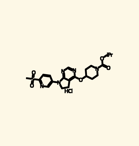 CC(C)OC(=O)N1CCC(Oc2ncnc3c2CCN3c2ccc(S(C)(=O)=O)nc2)CC1.Cl